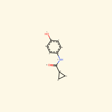 O=C(Nc1ccc(O)cc1)C1CC1